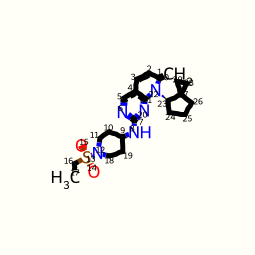 C=C1C=Cc2cnc(NC3CCN(S(=O)(=O)CC)CC3)nc2N1[C@H]1CCCC12CC2